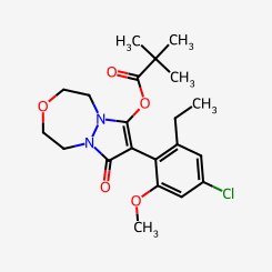 CCc1cc(Cl)cc(OC)c1-c1c(OC(=O)C(C)(C)C)n2n(c1=O)CCOCC2